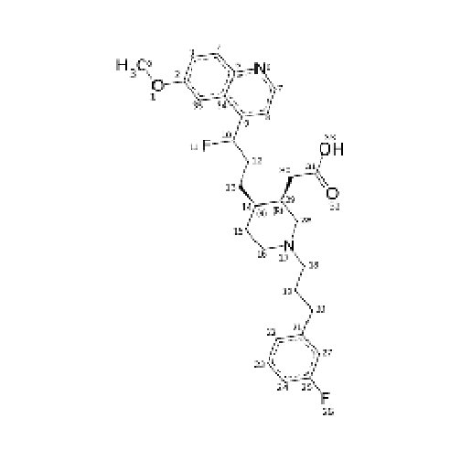 COc1ccc2nccc(C(F)CC[C@@H]3CCN(CCCc4cccc(F)c4)C[C@@H]3CC(=O)O)c2c1